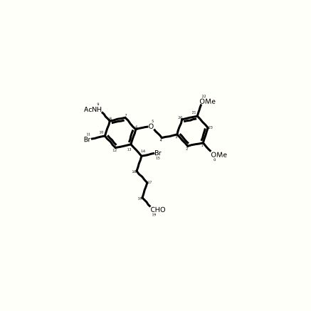 COc1cc(COc2cc(NC(C)=O)c(Br)cc2C(Br)CCCC=O)cc(OC)c1